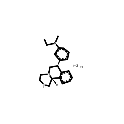 CCN(C)c1cccc([C@@H]2CN3CCNC[C@H]3c3ccccc32)c1.Cl.Cl